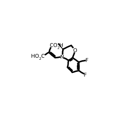 C[C@H]1COc2c(ccc(F)c2F)N1C=C(C(=O)O)C(=O)O